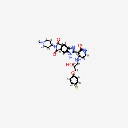 CN1CCC(N2C(=O)c3cc4nc(-c5c(NC[C@@H](O)COc6ccc(F)cc6)cc[nH]c5=O)[nH]c4cc3C2=O)CC1